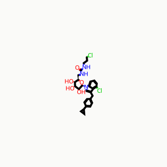 O=C(NCCCCl)NC[C@H]1O[C@@H](n2cc(Cc3ccc(C4CC4)cc3)c3c(Cl)cccc32)[C@H](O)[C@@H](O)[C@@H]1O